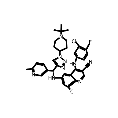 Cc1ccc([C@H](Nc2cc(Cl)c3ncc(C#N)c(Nc4ccc(F)c(Cl)c4)c3c2)c2cn(C3CCN(C(C)(C)C)CC3)nn2)cn1